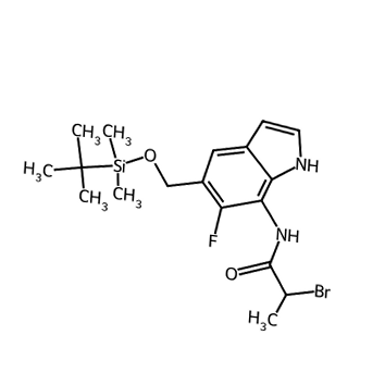 CC(Br)C(=O)Nc1c(F)c(CO[Si](C)(C)C(C)(C)C)cc2cc[nH]c12